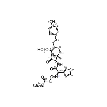 Cc1ccc(SCC2=C(C(=O)O)N3C(=O)C(NC(=O)/C(=N\OCC(=O)OC(C)(C)C)c4cscn4)[C@H]3SC2)nn1